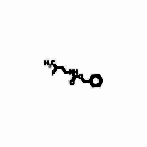 CC(F)CCNC(=O)OCc1ccccc1